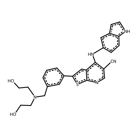 N#Cc1cnc2sc(-c3cccc(CN(CCO)CCO)c3)cc2c1Nc1ccc2[nH]ccc2c1